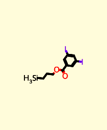 O=C(OCCC[SiH3])c1cc(I)cc(I)c1